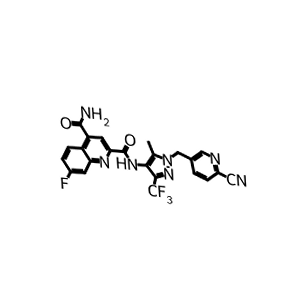 Cc1c(NC(=O)c2cc(C(N)=O)c3ccc(F)cc3n2)c(C(F)(F)F)nn1Cc1ccc(C#N)nc1